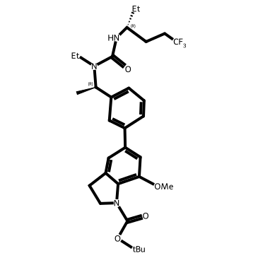 CC[C@H](CCC(F)(F)F)NC(=O)N(CC)[C@H](C)c1cccc(-c2cc3c(c(OC)c2)N(C(=O)OC(C)(C)C)CC3)c1